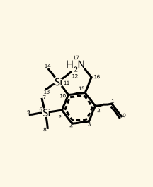 C=Cc1ccc([Si](C)(C)C)c([Si](C)(C)C)c1CN